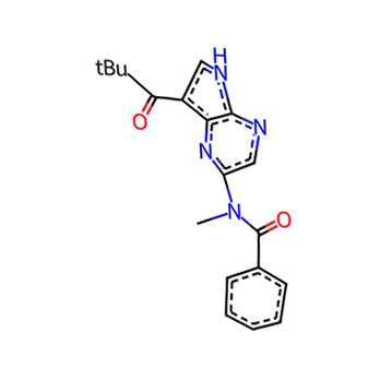 CN(C(=O)c1ccccc1)c1cnc2[nH]cc(C(=O)C(C)(C)C)c2n1